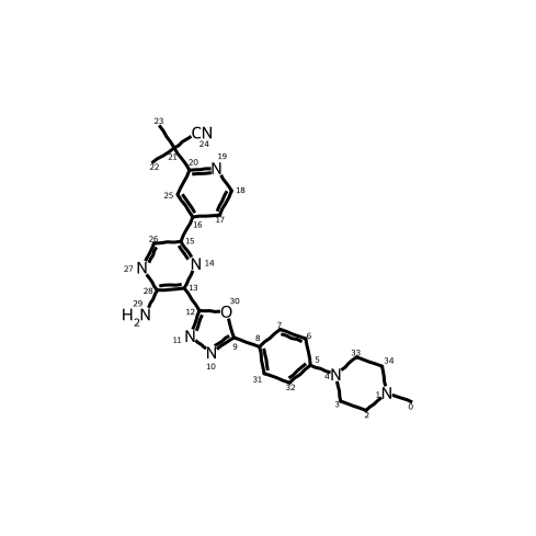 CN1CCN(c2ccc(-c3nnc(-c4nc(-c5ccnc(C(C)(C)C#N)c5)cnc4N)o3)cc2)CC1